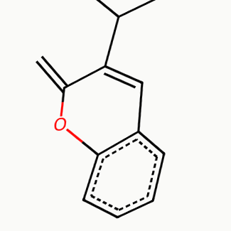 C=C1Oc2ccccc2C=C1C(C)C